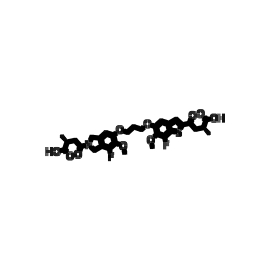 COc1c(OCCCOc2cc3cc(C(=O)C[C@H](C)C(=O)O)sc3c(F)c2OC)cc2c(c1F)CN(C(=O)C[C@H](C)C(=O)O)C2